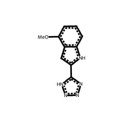 COc1c[c]cc2[nH]c(-c3nnn[nH]3)cc12